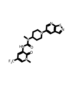 CN(C(=O)Nc1cc(C(F)(F)F)cn(C)c1=O)C1CCN(c2cnc3sncc3c2)CC1